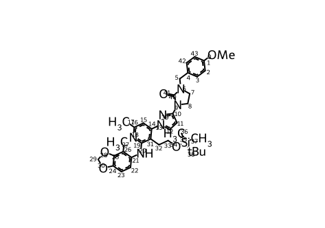 COc1ccc(CN2CCN(c3ccn(-c4cc(C)nc(Nc5ccc6c(c5C)OCO6)c4CCO[Si](C)(C)C(C)(C)C)n3)C2=O)cc1